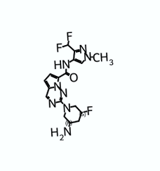 Cn1cc(NC(=O)c2ccc3cnc(N4C[C@H](N)C[C@H](F)C4)nn23)c(C(F)F)n1